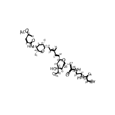 CC(=O)O[C@@H](C)/C=C\C(=O)N[C@@H]1C[C@H](C)[C@H](C/C=C(C)/C=C/[C@@H]2C[C@](O)(CCl)C[C@@H](CC(=O)NCCNC(=O)CBr)O2)O[C@@H]1C